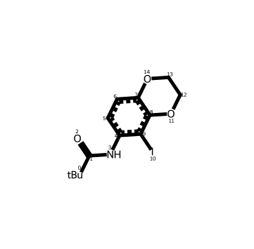 CC(C)(C)C(=O)Nc1ccc2c(c1I)OCCO2